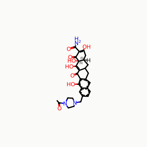 CC(=O)N1CCN(Cc2ccc3cc4c(c(O)c3c2)C(=O)C2=C(O)[C@]3(O)C(=O)C(C(N)=O)=C(O)C[C@@H]3CC2C4)CC1